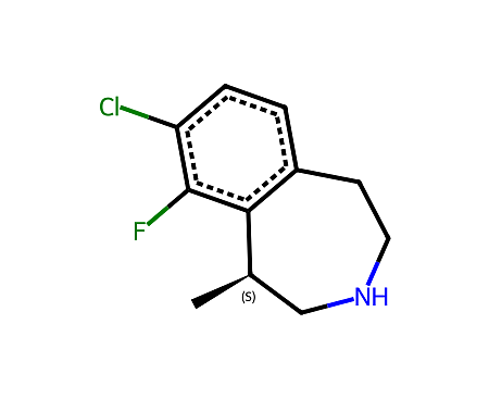 C[C@@H]1CNCCc2ccc(Cl)c(F)c21